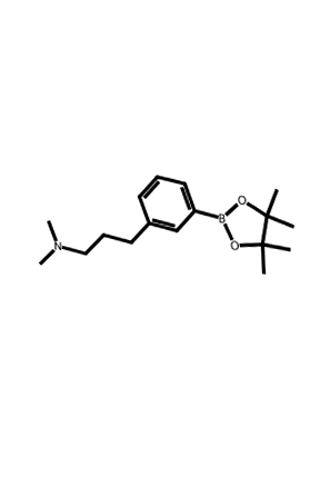 CN(C)CCCc1cccc(B2OC(C)(C)C(C)(C)O2)c1